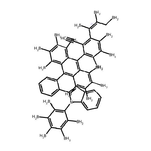 BC/C(B)=C(/B)c1c(B)c(B)c(B)c(-c2c3c(B)c(B)c(B)c(B)c3c(-c3ccccc3-c3nc4ccccc4n3-c3c(B)c(B)c(B)c(B)c3B)c3c(B)c(B)c(B)c(B)c23)c1C#C